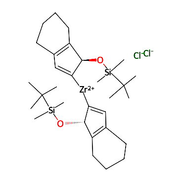 CC(C)(C)[Si](C)(C)O[C@@H]1[C]([Zr+2][C]2=CC3=C(CCCC3)[C@H]2O[Si](C)(C)C(C)(C)C)=CC2=C1CCCC2.[Cl-].[Cl-]